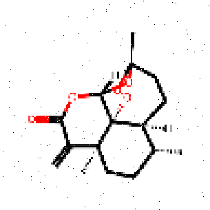 C=C1C(=O)O[C@@H]2O[C@@]3(C)CC[C@H]4[C@H](C)CC[C@]1(C)[C@@]24OO3